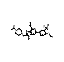 CCOc1ccc(-c2cc3[nH]c(CN4CCN(C(C)C)CC4)nc3c(C#N)n2)cc1C(F)(F)F